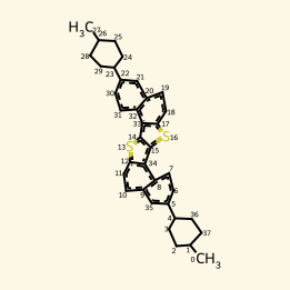 CC1CCC(c2ccc3c(ccc4sc5c(sc6ccc7cc(C8CCC(C)CC8)ccc7c65)c43)c2)CC1